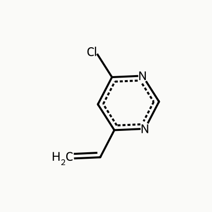 C=Cc1cc(Cl)ncn1